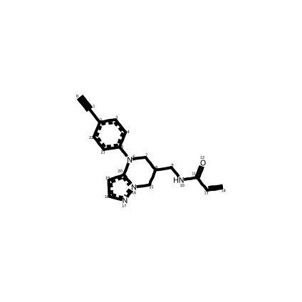 C#Cc1ccc(N2CC(CNC(=O)C=C)Cn3nccc32)cc1